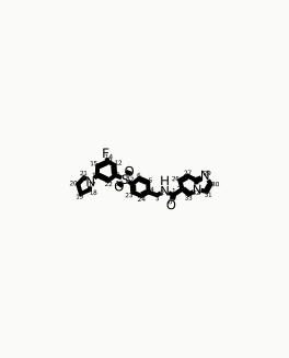 O=C(NCc1ccc(S(=O)(=O)c2cc(F)cc(N3CCCC3)c2)cc1)c1ccc2nccn2c1